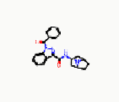 CN1C2CCC1CC(NC(=O)c1nn(C(=O)c3ccccc3)c3ccccc13)C2